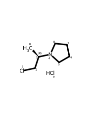 C[C@H](CCl)N1CCCC1.Cl